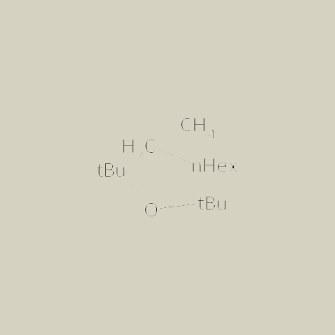 C.CC(C)(C)OC(C)(C)C.CCCCCCC